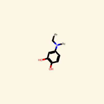 CC(=O)N(CC(C)C)c1ccc(O)c(O)c1